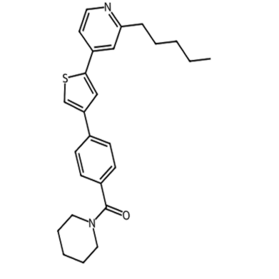 CCCCCc1cc(-c2cc(-c3ccc(C(=O)N4CCCCC4)cc3)cs2)ccn1